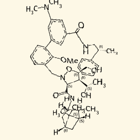 COc1c(CN2O[C@@H](CO)[C@@H]([C@H](C)O)[C@H]2C(=O)N[C@H]2C[C@H]3C[C@@H]([C@@H]2C)C3(C)C)cccc1-c1cc(C(=O)NC[C@H](C)c2ccccc2)cc(N(C)C)c1